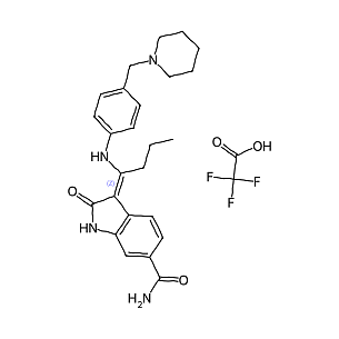 CCC/C(Nc1ccc(CN2CCCCC2)cc1)=C1/C(=O)Nc2cc(C(N)=O)ccc21.O=C(O)C(F)(F)F